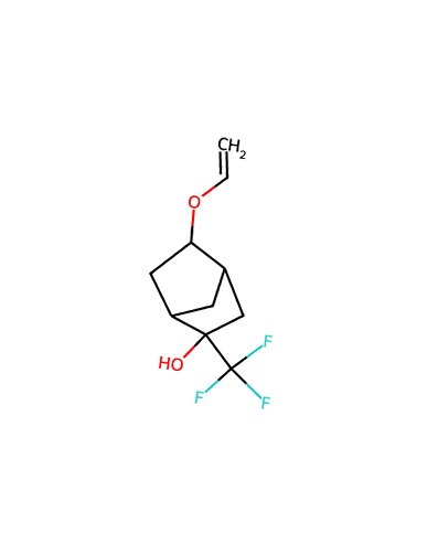 C=COC1CC2CC1CC2(O)C(F)(F)F